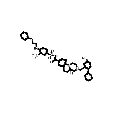 N#Cc1ccc(-c2ccccc2)c(CN2CCN3c4ccc(C(=O)NS(=O)(=O)c5ccc(NCCSc6ccccc6)c([N+](=O)[O-])c5)cc4CC[C@H]3C2)c1